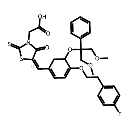 COCC(COC)(OC1CC(/C=C2/SC(=S)N(CC(=O)O)C2=O)=CC=C1OCCc1ccc(F)cc1)c1ccccc1